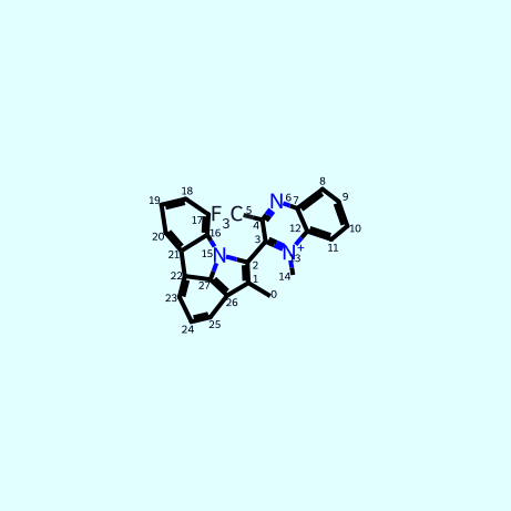 Cc1c(-c2c(C(F)(F)F)nc3ccccc3[n+]2C)n2c3ccccc3c3cccc1c32